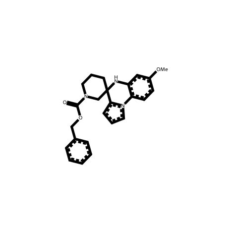 COc1ccc2c(c1)NC1(CCCN(C(=O)OCc3ccccc3)C1)c1cccn1-2